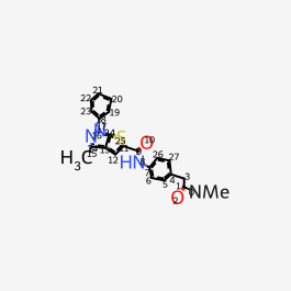 CNC(=O)Cc1ccc(NC(=O)c2cc3c(C)nn(-c4ccccc4)c3s2)cc1